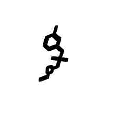 C=COCC(C)(C)Cc1cccc(C)c1